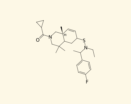 CCN(SC1C=C[C@@]2(C)CN(C(=O)C3CC3)CC(C)(C)C2C1)C(C)c1ccc(F)cc1